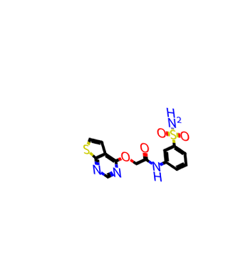 NS(=O)(=O)c1cccc(NC(=O)COc2ncnc3sccc23)c1